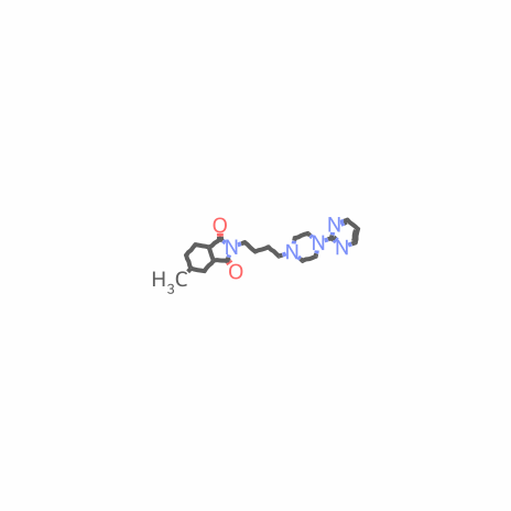 CC1CCC2C(=O)N(CCCCN3CCN(c4ncccn4)CC3)C(=O)C2C1